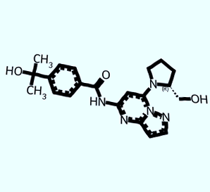 CC(C)(O)c1ccc(C(=O)Nc2cc(N3CCC[C@@H]3CO)n3nccc3n2)cc1